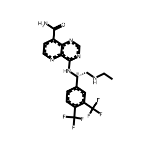 CCNC[C@@H](Nc1ncnc2c(C(N)=O)ccnc12)c1ccc(C(F)(F)F)c(C(F)(F)F)c1